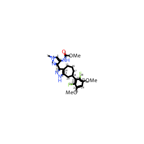 COC(=O)Nc1cn(C)nc1-c1n[nH]c2c1CCCC(c1c(F)c(OC)cc(OC)c1F)C2